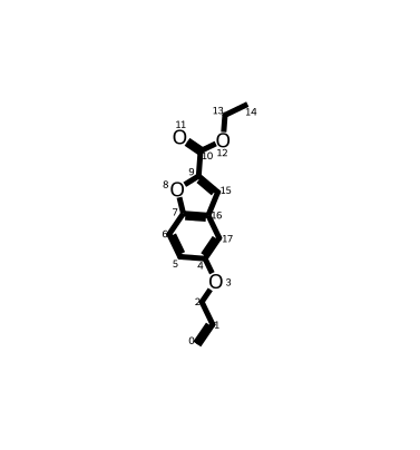 C=CCOc1ccc2oc(C(=O)OCC)cc2c1